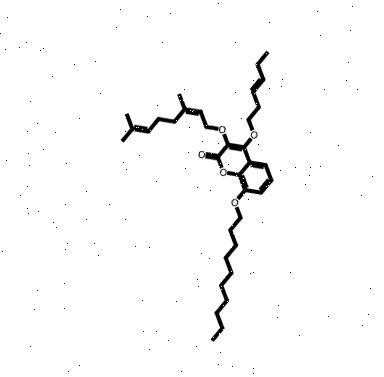 CCC=CCCOc1c(OCC=C(C)CCC=C(C)C)c(=O)oc2c(OCCCCCCCCCC)cccc12